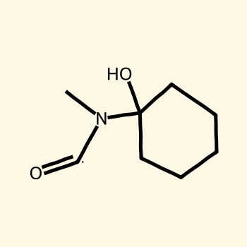 CN([C]=O)C1(O)CCCCC1